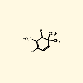 CCC1=C(C(=O)O)C(CC)C(C)(C(=O)O)C=C1